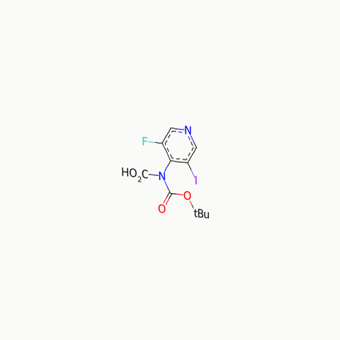 CC(C)(C)OC(=O)N(C(=O)O)c1c(F)cncc1I